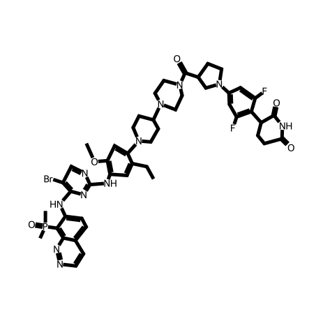 CCc1cc(Nc2ncc(Br)c(Nc3ccc4ccnnc4c3P(C)(C)=O)n2)c(OC)cc1N1CCC(N2CCN(C(=O)C3CCN(c4cc(F)c(C5CCC(=O)NC5=O)c(F)c4)C3)CC2)CC1